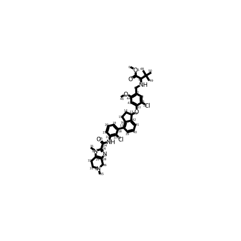 COC(=O)C(NCc1cc(Cl)c(OC2CCc3c(-c4cccc(NC(=O)c5nc6c(n5C)CCN(C)C6)c4Cl)cccc32)cc1OC)C(C)(C)C